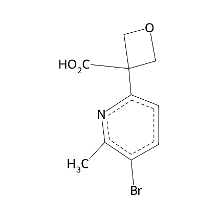 Cc1nc(C2(C(=O)O)COC2)ccc1Br